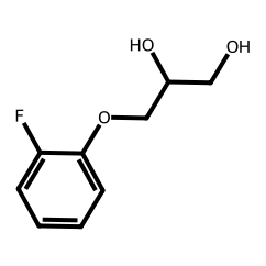 OCC(O)COc1ccccc1F